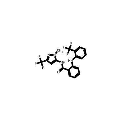 Cn1nc(C(F)(F)F)cc1NC(=O)c1ccccc1Nc1ccccc1C(F)(F)F